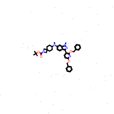 CN(c1ccc2c(-c3ccc(OCc4ccccc4)nc3OCc3ccccc3)nn(C)c2c1)C1CCC2(CC1)CN(C(=O)OC(C)(C)C)C2